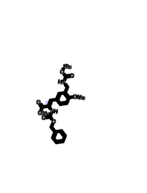 COC(=O)/C(=C/c1ccc(OC)c(CNC(=O)OC(C)(C)C)c1)NC(=O)OCc1ccccc1